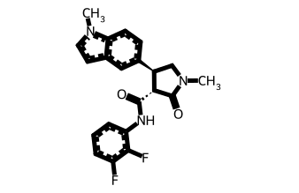 CN1C[C@H](c2ccc3c(ccn3C)c2)[C@@H](C(=O)Nc2cccc(F)c2F)C1=O